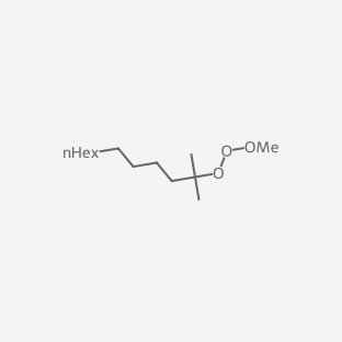 CCCCCCCCCCC(C)(C)OOOC